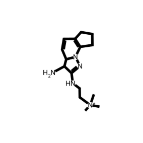 C[N+](C)(C)CCNC1=NN2C3=C(C=CC2C1N)CCC3